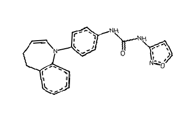 O=C(Nc1ccc(N2C=CCCc3ccccc32)cc1)Nc1ccon1